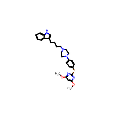 COc1cc(OC)nc(Sc2ccc(N3CCN(CCCCc4c[nH]c5ccccc45)CC3)cc2)n1